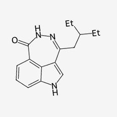 CCC(CC)CC1=NNC(=O)c2cccc3[nH]cc1c23